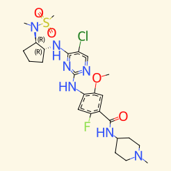 COc1cc(C(=O)NC2CCN(C)CC2)c(F)cc1Nc1ncc(Cl)c(N[C@@H]2CCC[C@H]2N(C)S(C)(=O)=O)n1